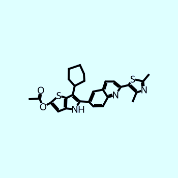 CC(=O)Oc1cc2[nH]c(-c3ccc4nc(-c5sc(C)nc5C)ccc4c3)c(C3CCCCC3)c2s1